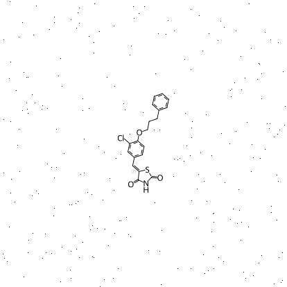 O=C1NC(=O)/C(=C/c2ccc(OCCCc3ccccc3)c(Cl)c2)S1